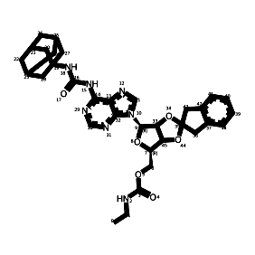 CCNC(=O)OC[C@H]1O[C@@H](n2cnc3c(NC(=O)NC45CC6CC(CC(C6)C4)C5)ncnc32)C2OC3(Cc4ccccc4C3)OC21